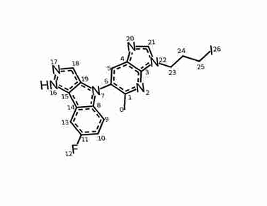 Cc1nc2c(cc1-n1c3ccc(F)cc3c3[nH]ncc31)ncn2CCCI